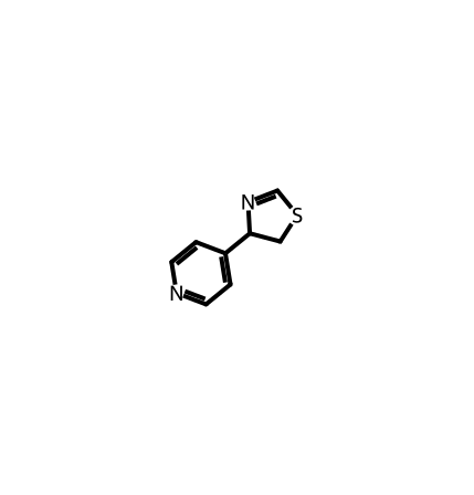 C1=NC(c2ccncc2)CS1